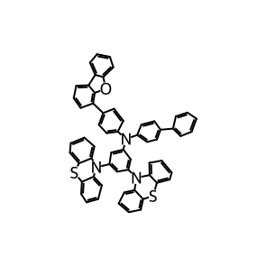 c1ccc(-c2ccc(N(c3ccc(-c4cccc5c4oc4ccccc45)cc3)c3cc(N4c5ccccc5Sc5ccccc54)cc(N4c5ccccc5Sc5ccccc54)c3)cc2)cc1